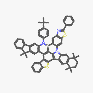 CC(C)(C)c1ccc(N2B3c4cc5nc(-c6ccccc6)sc5cc4-n4c5cc6c(cc5c5c7sc8ccccc8c7c(c3c54)-c3cc4c(cc32)-c2ccccc2C4(C)C)C(C)(C)CCC6(C)C)cc1